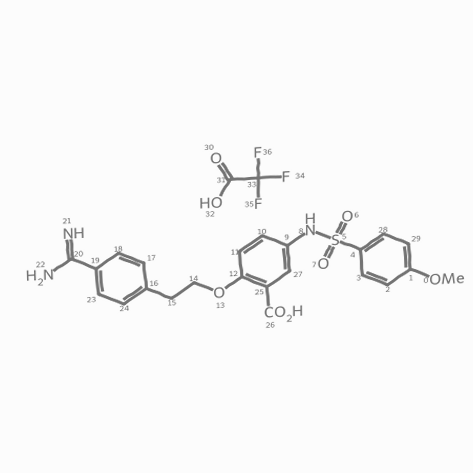 COc1ccc(S(=O)(=O)Nc2ccc(OCCc3ccc(C(=N)N)cc3)c(C(=O)O)c2)cc1.O=C(O)C(F)(F)F